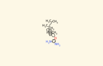 CC(C)CCCC(C)[C@H]1CC[C@H]2[C@@H]3CCC4CC(Oc5cc(N)cc(N)c5)CC[C@]4(C)[C@H]3CC[C@]12C